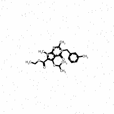 CCOC(=O)c1c(OC(C)C)c2c(=O)n(Cc3cccc(C)c3)c(C)nc2n1C